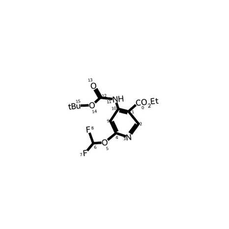 CCOC(=O)c1cnc(OC(F)F)cc1NC(=O)OC(C)(C)C